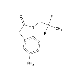 CC(F)(F)CN1C(=O)Cc2cc(N)ccc21